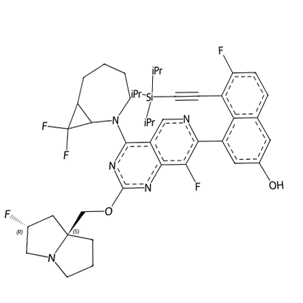 CC(C)[Si](C#Cc1c(F)ccc2cc(O)cc(-c3ncc4c(N5CCCCC6C5C6(F)F)nc(OC[C@@]56CCCN5C[C@H](F)C6)nc4c3F)c12)(C(C)C)C(C)C